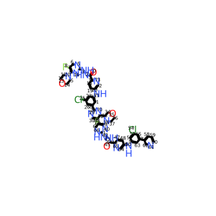 O=C(NNc1ncc(F)c(N2CCOCC2)n1)c1ccc(Nc2cc(Cl)cc(-c3nccc(C4COCCN4c4nc(NNC(=O)c5ccc(Nc6cc(Cl)cc(-c7cccnc7)c6)cn5)ncc4F)n3)c2)cn1